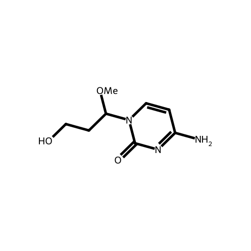 COC(CCO)n1ccc(N)nc1=O